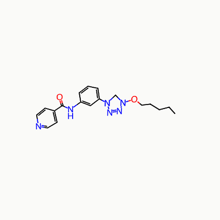 CCCCCON1CN(c2cccc(NC(=O)c3ccncc3)c2)N=N1